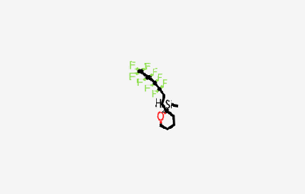 C[SiH2]C1(CCC(F)(F)C(F)(F)C(F)(F)C(F)(F)F)CCCCO1